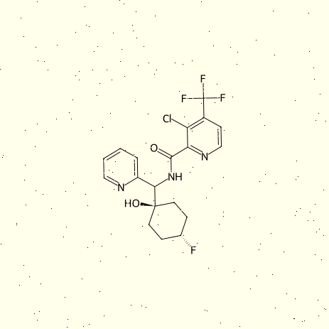 O=C(NC(c1ccccn1)[C@]1(O)CC[C@H](F)CC1)c1nccc(C(F)(F)F)c1Cl